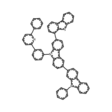 c1ccc(-c2cccc(-c3cccc(-n4c5ccc(-c6ccc7c8ccccc8n(-c8ccccc8)c7c6)cc5c5ccc(-c6cccc7c6sc6ccccc67)cc54)c3)n2)cc1